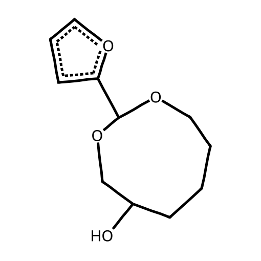 OC1CCCCOC(c2ccco2)OC1